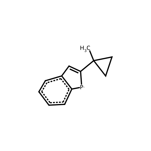 CC1(C2=Cc3ccccc3[P]2)CC1